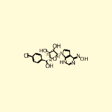 ON=c1nc[nH]c2c1ccn2[C@@H]1O[C@H](C(O)c2ccc(Cl)cc2)[C@@H](O)[C@H]1O